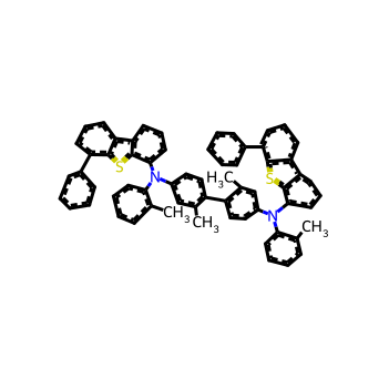 Cc1cc(N(c2ccccc2C)c2cccc3c2sc2c(-c4ccccc4)cccc23)ccc1-c1ccc(N(c2ccccc2C)c2cccc3c2sc2c(-c4ccccc4)cccc23)cc1C